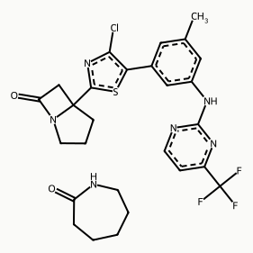 Cc1cc(Nc2nccc(C(F)(F)F)n2)cc(-c2sc(C34CCCN3C(=O)C4)nc2Cl)c1.O=C1CCCCCN1